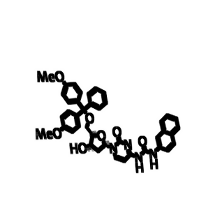 COc1ccc(C(OC[C@H]2O[C@@H](n3ccc(NC(=O)Nc4ccc5ccccc5c4)nc3=O)C[C@H]2O)(c2ccccc2)c2ccc(OC)cc2)cc1